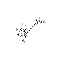 C=C(C)C(=O)OCC(CCCCCCOC(=O)NSC(F)(F)F)OC(=O)C(=C)C